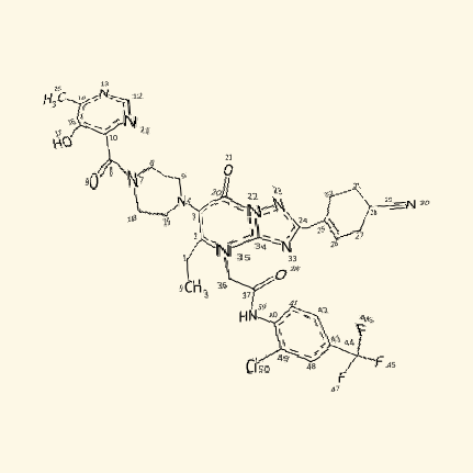 CCc1c(N2CCN(C(=O)c3ncnc(C)c3O)CC2)c(=O)n2nc(C3=CCC(C#N)CC3)nc2n1CC(=O)Nc1ccc(C(F)(F)F)cc1Cl